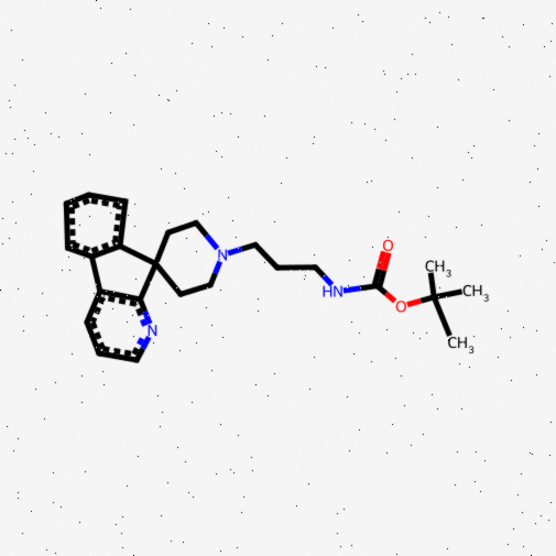 CC(C)(C)OC(=O)NCCCN1CCC2(CC1)c1ccccc1-c1cccnc12